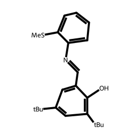 CSc1ccccc1/N=C/c1cc(C(C)(C)C)cc(C(C)(C)C)c1O